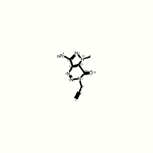 C#CCn1nnc2c(CCC)nn(C)c2c1=O